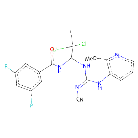 COc1ncccc1N/C(=N\C#N)NC(NC(=O)c1cc(F)cc(F)c1)C(C)(Cl)Cl